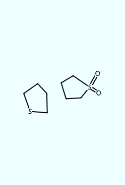 C1CCSC1.O=S1(=O)CCCC1